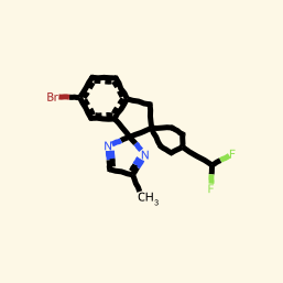 CC1=NC2(N=C1)c1cc(Br)ccc1CC21CCC(C(F)F)CC1